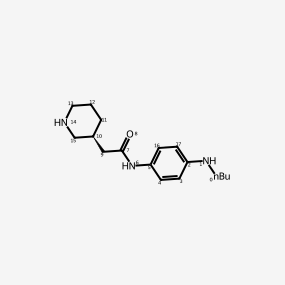 CCCCNc1ccc(NC(=O)C[C@@H]2CCCNC2)cc1